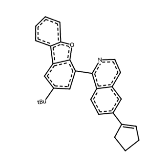 CC(C)(C)c1cc(-c2nccc3cc(C4=CCCC4)ccc23)c2oc3ccccc3c2c1